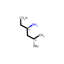 CCCC[C@@H](C)C[C@H](N)CC(=O)O